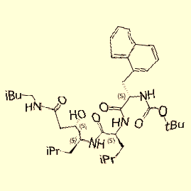 CCC(C)CNC(=O)C[C@H](O)[C@H](CC(C)C)NC(=O)[C@H](CC(C)C)NC(=O)[C@H](Cc1cccc2ccccc12)NC(=O)OC(C)(C)C